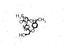 C#CCC(Oc1ccc(CC)cc1)c1nnc(N2C(=O)N(C)CC2O)s1